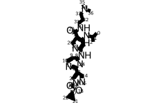 CC(C)Nc1cc(Nc2ccnc(-c3cnn(S(=O)(=O)C4CC4)c3)n2)ncc1C(=O)NCCCN(C)C